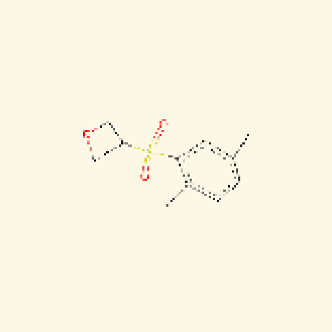 Cc1ccc(C)c(S(=O)(=O)C2COC2)c1